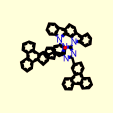 c1ccc(-c2nc(-c3ccc4c5ccccc5c5ccccc5c4c3)nc(-n3c4ccccc4c4ccc5c6ccccc6n(-c6cccc(-c7ccc8c9ccccc9c9ccccc9c8c7)c6)c5c43)n2)cc1